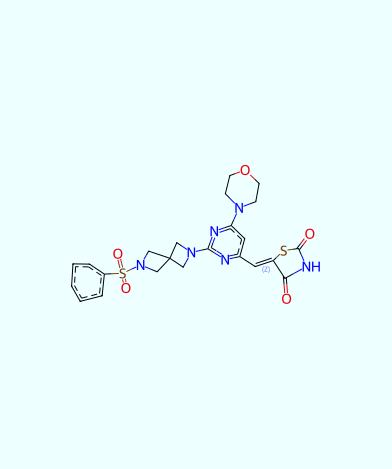 O=C1NC(=O)/C(=C/c2cc(N3CCOCC3)nc(N3CC4(C3)CN(S(=O)(=O)c3ccccc3)C4)n2)S1